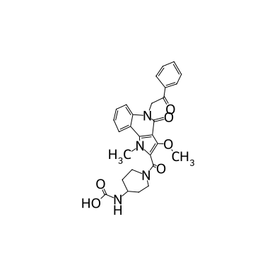 COc1c(C(=O)N2CCC(NC(=O)O)CC2)n(C)c2c1c(=O)n(CC(=O)c1ccccc1)c1ccccc21